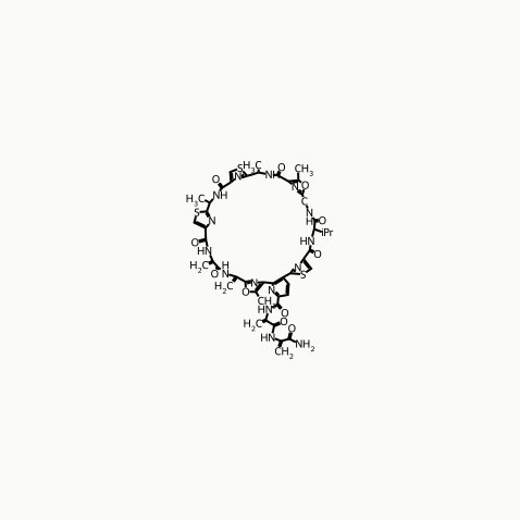 C=C(NC(=O)C(=C)NC(=O)c1ccc2c(n1)-c1nc(oc1C)C(=C)NC(=O)C(=C)NC(=O)c1csc(n1)C(C)NC(=O)c1csc(n1)C(C)NC(=O)c1nc(oc1C)CNC(=O)C(C(C)C)NC(=O)c1csc-2n1)C(N)=O